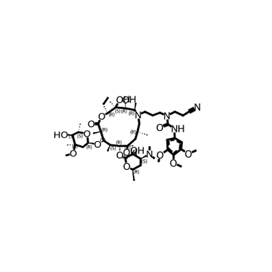 CC[C@H]1OC(=O)[C@H](C)[C@@H](O[C@H]2C[C@@](C)(OC)[C@@H](O)[C@H](C)O2)[C@H](C)[C@@H](O[C@@H]2O[C@H](C)C[C@H](N(C)C)[C@H]2O)[C@](C)(O)C[C@@H](C)CN(CCCN(CCC#N)C(=O)Nc2cc(OC)c(OC)c(OC)c2)[C@H](C)[C@@H](O)[C@]1(C)O